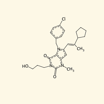 C/C(=C\c1cc2c(c(=O)n(CCCO)c(=O)n2C)n1Cc1ccc(Cl)cc1)C1CCCC1